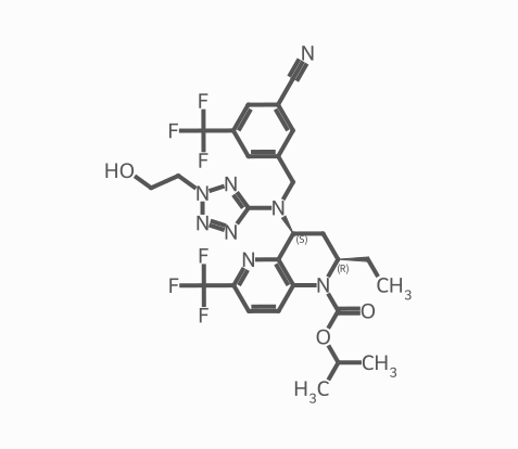 CC[C@@H]1C[C@H](N(Cc2cc(C#N)cc(C(F)(F)F)c2)c2nnn(CCO)n2)c2nc(C(F)(F)F)ccc2N1C(=O)OC(C)C